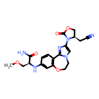 COC[C@H](Nc1ccc2c(c1)OCCn1cc(N3C(=O)OC[C@H]3CC#N)nc1-2)C(N)=O